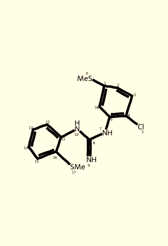 CSc1ccc(Cl)c(NC(=N)Nc2ccccc2SC)c1